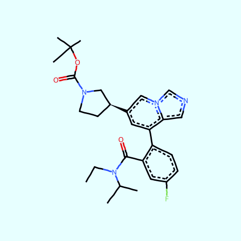 CCN(C(=O)c1cc(F)ccc1-c1cc([C@H]2CCN(C(=O)OC(C)(C)C)C2)cn2cncc12)C(C)C